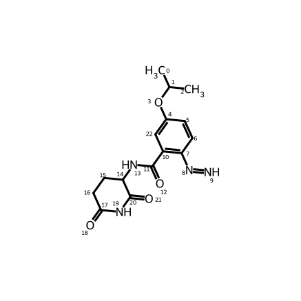 CC(C)Oc1ccc(N=N)c(C(=O)NC2CCC(=O)NC2=O)c1